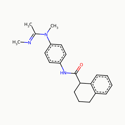 CN=C(C)N(C)c1ccc(NC(=O)C2CCCc3ccccc32)cc1